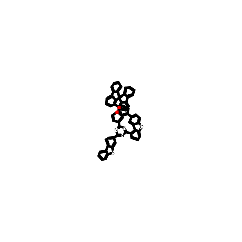 c1ccc(-c2nc(-c3ccc4c(c3)sc3ccccc34)nc(-c3cccc4oc5ccc(-c6ccc(-c7cccc8c7C7(c9ccccc9-c9ccccc97)c7ccccc7-8)cc6)cc5c34)n2)cc1